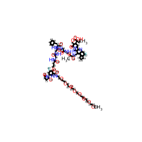 CC[C@@]1(O)C(=O)OCc2c1cc1n(c2=O)Cc2c-1nc1cc(F)c3c(c1c2CNC(=O)[C@H](C)OCNC(=O)CNC(=O)[C@H](Cc1ccccc1)NC(=O)CNC(=O)CNC(=O)CCCOc1c(F)cc(N2C(=O)C=CC2=O)cc1C(=O)NCCOCCOCCOCCOCCOCCOCCOCCOC)CCC3